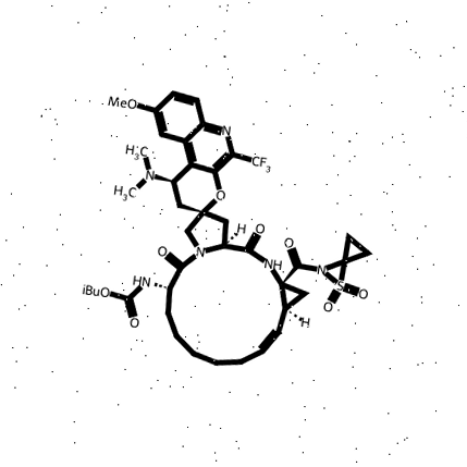 COc1ccc2nc(C(F)(F)F)c3c(c2c1)[C@H](N(C)C)C[C@]1(C[C@H]2C(=O)N[C@]4(C(=O)N5C6(CC6)S5(=O)=O)C[C@H]4/C=C\CCCCC[C@H](NC(=O)OCC(C)C)C(=O)N2C1)O3